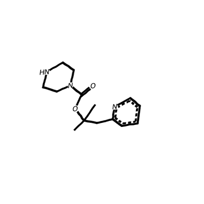 CC(C)(Cc1ccccn1)OC(=O)N1CCNCC1